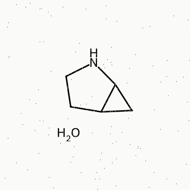 C1CC2CC2N1.O